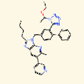 CCCCc1nc2cc(-c3cccnc3)c(C)nc2n1Cc1ccc(-c2ccccc2)c(-c2nnnn2C(C)OCC)c1